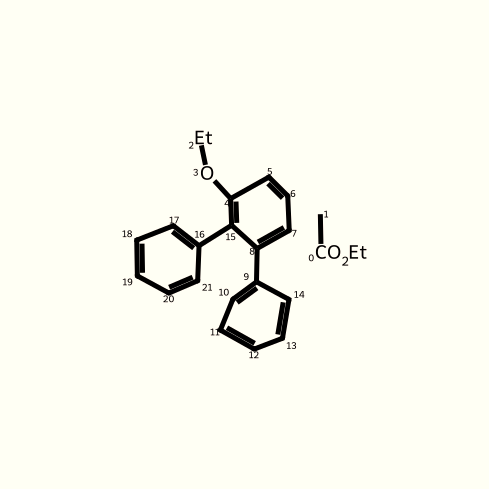 CCOC(C)=O.CCOc1cccc(-c2ccccc2)c1-c1ccccc1